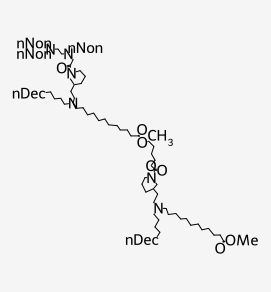 CCCCCCCCCCCCCCN(CCCCCCCCCCCC(=O)OC(C)CCCOC(=O)N1CCCC(CCN(CCCCCCCCCCCCCC)CCCCCCCCCCCC(=O)OC)C1)CCC1CCCN(C(=O)CN(CCCCCCCCC)CCN(CCCCCCCCC)CCCCCCCCC)C1